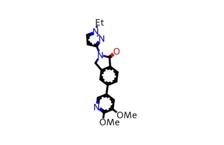 CCn1ccc(N2Cc3cc(-c4cnc(OC)c(OC)c4)ccc3C2=O)n1